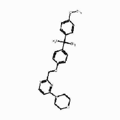 COc1ccc(C(C)(C)c2ccc(OCc3nccc(N4CCOCC4)n3)cc2)cc1